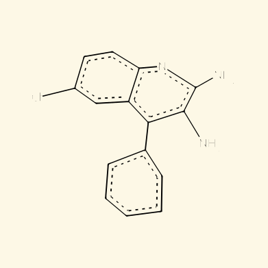 Nc1nc2ccc(Cl)cc2c(-c2ccccc2)c1N